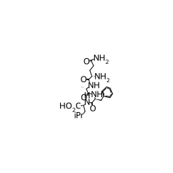 CC(C)C[C@H](NC(=O)[C@H](Cc1ccccc1)NC(=O)[C@H](C)NC(=O)[C@@H](N)CCC(N)=O)C(=O)O